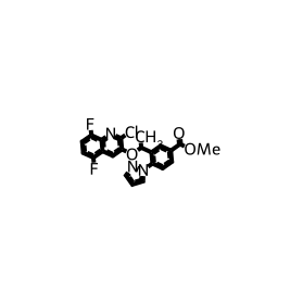 COC(=O)c1ccc(-n2cccn2)c(C(C)Oc2cc3c(F)ccc(F)c3nc2Cl)c1